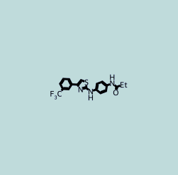 CCC(=O)Nc1ccc(Nc2nc(-c3cccc(C(F)(F)F)c3)cs2)cc1